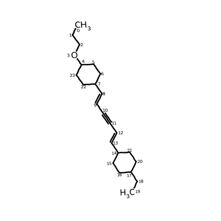 CCCOC1CCC(C=CC#CC=CC2CCC(CC)CC2)CC1